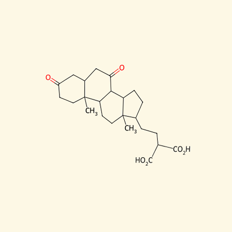 CC12CCC3C(C(=O)CC4CC(=O)CCC43C)C1CCC2CCC(C(=O)O)C(=O)O